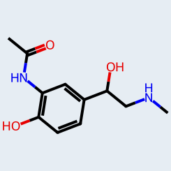 CNCC(O)c1ccc(O)c(NC(C)=O)c1